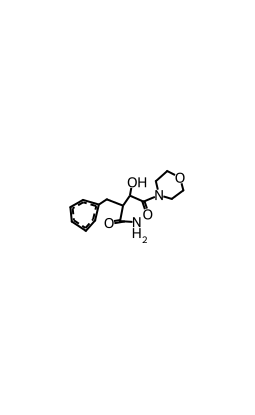 NC(=O)C(Cc1ccccc1)C(O)C(=O)N1CCOCC1